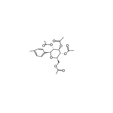 [CH2]c1ccc([C@@H]2O[C@H](COC(C)=O)[C@@H](OC(C)=O)[C@H](OC(C)=O)[C@H]2OC(C)=O)cc1